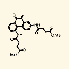 COC(=O)CCC(=O)Nc1ccc2c(c1)C(=O)C(=O)c1cccc(NC(=O)CCC(=O)OC)c1-2